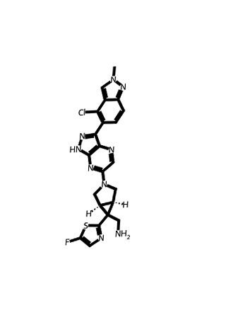 Cn1cc2c(Cl)c(-c3n[nH]c4nc(N5C[C@@H]6[C@H](C5)C6(CN)c5ncc(F)s5)cnc34)ccc2n1